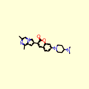 Cc1cn2cc(-c3cc4ccc(N5CCC(N(C)C)CC5)cc4oc3=O)cc2c(C)n1